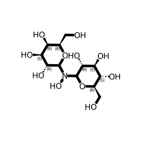 OC[C@H]1OC(N(O)C2O[C@H](CO)[C@@H](O)[C@H](O)[C@H]2O)[C@H](O)[C@@H](O)[C@H]1O